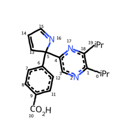 CC(C)c1ncc(C2(c3ccc(C(=O)O)cc3)C=CC=N2)nc1C(C)C